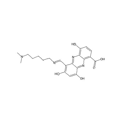 CN(C)CCCCC/N=C/c1c(O)cc(O)c2nc3c(C(=O)O)ccc(O)c3nc12